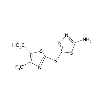 Nc1nnc(Sc2nc(C(F)(F)F)c(C(=O)O)s2)s1